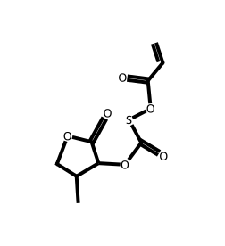 C=CC(=O)OSC(=O)OC1C(=O)OCC1C